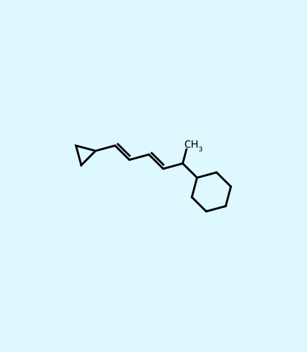 CC(C=CC=CC1CC1)C1CCCCC1